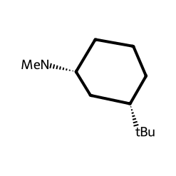 CN[C@@H]1CCC[C@H](C(C)(C)C)C1